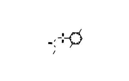 CO[PH](=O)OS(=O)(=O)c1cc(F)ccc1F